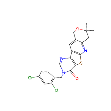 CC1(C)Cc2nc3sc4c(=O)n(Cc5ccc(Cl)cc5Cl)cnc4c3cc2CO1